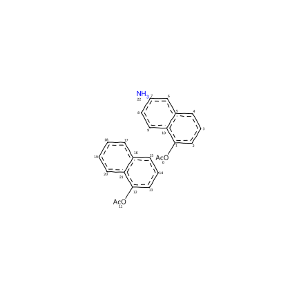 CC(=O)Oc1cccc2ccccc12.CC(=O)Oc1cccc2ccccc12.N